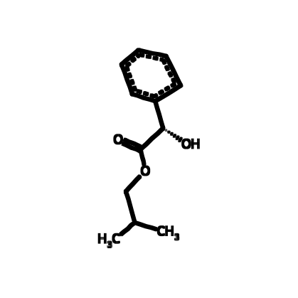 CC(C)COC(=O)[C@@H](O)c1ccccc1